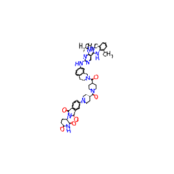 Cc1cccc(C)c1Nc1nn(C)c2nc(Nc3ccc4c(c3)CN(C(=O)C3CCN(C(=O)C5CCN(c6ccc7c(c6)C(=O)N(C6CCC(=O)NC6=O)C7=O)CC5)CC3)CC4)ncc12